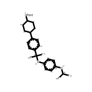 CCCCCC1CCC(c2ccc(C(F)(F)Oc3ccc(OC(F)F)cc3)cc2)CC1